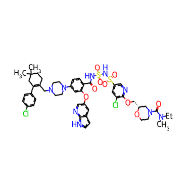 CCN(C)C(=O)N1CCO[C@H](COc2ncc(S(=O)(=O)NS(=O)(=O)NC(=O)c3ccc(N4CCN(CC5=C(c6ccc(Cl)cc6)CC(C)(C)CC5)CC4)cc3Oc3cnc4[nH]ccc4c3)cc2Cl)C1